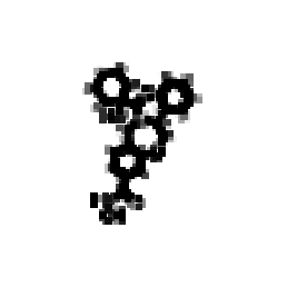 O=C(NO)c1ccc2c(c1)OC[C@H](c1ccccc1)N(C(=O)C1(O)CCCCC1)C2